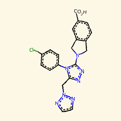 O=C(O)c1ccc2c(c1)CN(c1nnc(Cn3nccn3)n1-c1ccc(Cl)cc1)C2